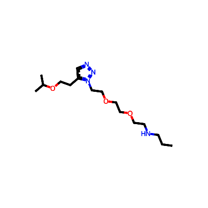 CCCNCCOCCOCCn1nncc1CCOC(C)C